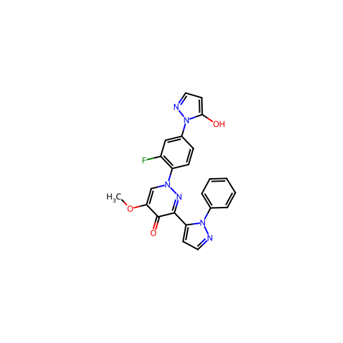 COc1cn(-c2ccc(-n3nccc3O)cc2F)nc(-c2ccnn2-c2ccccc2)c1=O